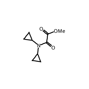 COC(=O)C(=O)N(C1CC1)C1CC1